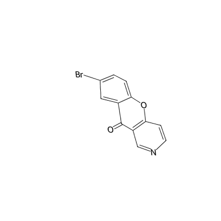 O=c1c2cnccc2oc2ccc(Br)cc12